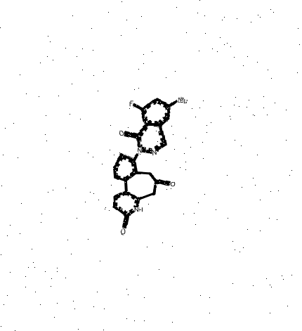 CC(C)(C)c1cc(F)c2c(=O)n(-c3cccc4c3CC(=O)Cc3[nH]c(=O)ccc3-4)ncc2c1